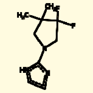 CC1(C)CN(c2ncc[nH]2)CC1(F)F